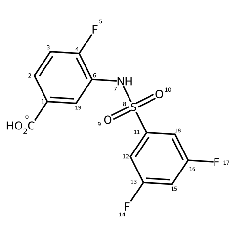 O=C(O)c1ccc(F)c(NS(=O)(=O)c2cc(F)cc(F)c2)c1